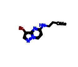 COCCNc1ccn2ncc(Br)c2n1